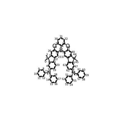 CC1(C)c2cc(N(c3ccccc3)c3ccccc3)ccc2-c2cc3c(cc21)Oc1cccc2c1B3c1cc3c(cc1O2)C(C)(C)c1cc(N(c2ccccc2)c2ccccc2)ccc1-3